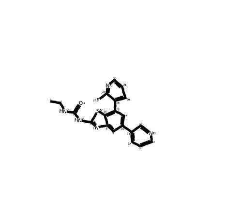 CCNC(=O)Nc1nc2cc(-c3cccnc3)cc(-c3cccnc3F)c2s1